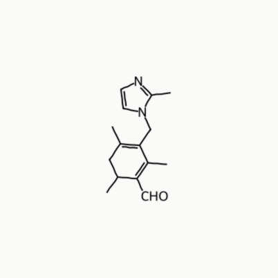 CC1=C(Cn2ccnc2C)C(C)=C(C=O)C(C)C1